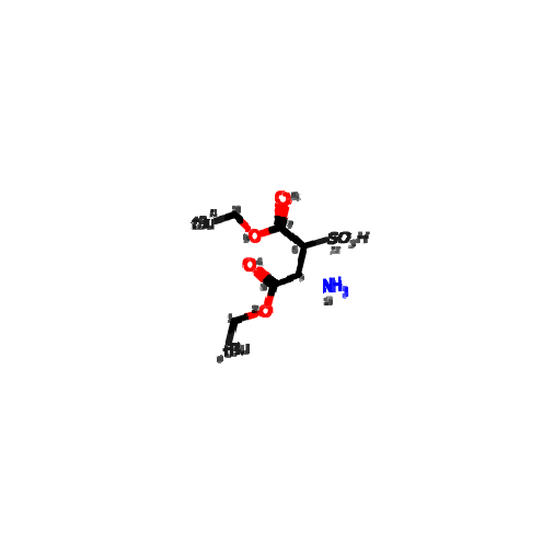 CC(C)(C)COC(=O)CC(C(=O)OCC(C)(C)C)S(=O)(=O)O.N